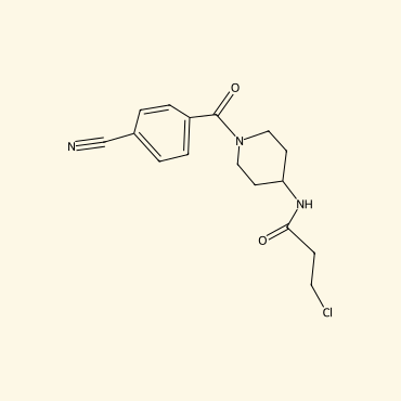 N#Cc1ccc(C(=O)N2CCC(NC(=O)CCCl)CC2)cc1